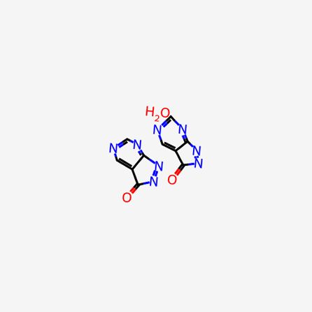 O.O=C1N=Nc2ncncc21.O=C1N=Nc2ncncc21